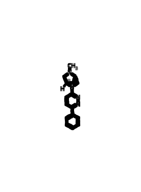 CN1C[C@@H]2CC1CN2c1ccc(-c2ccccc2)nn1